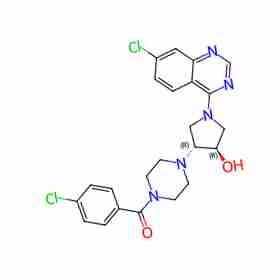 O=C(c1ccc(Cl)cc1)N1CCN([C@@H]2CN(c3ncnc4cc(Cl)ccc34)C[C@H]2O)CC1